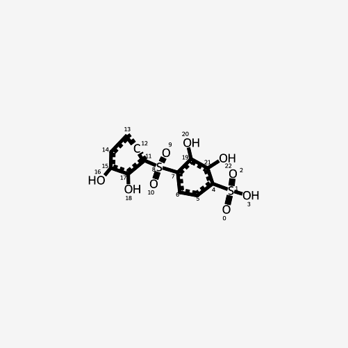 O=S(=O)(O)c1ccc(S(=O)(=O)c2cccc(O)c2O)c(O)c1O